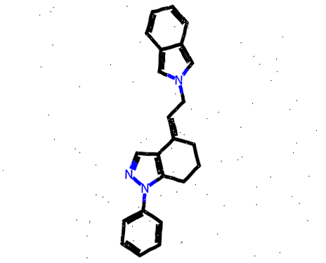 C(/Cn1cc2ccccc2c1)=C1/CCCc2c1cnn2-c1ccccc1